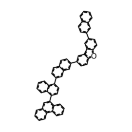 c1ccc2cc(-c3ccc4oc5ccc(-c6ccc7ccc(-c8ccc(-c9cc%10ccccc%10c%10ccccc9%10)c9ccccc89)cc7c6)cc5c4c3)ccc2c1